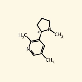 Cc1cnc(C)c([C@H]2CCCN2C)c1